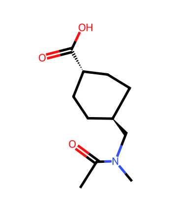 CC(=O)N(C)C[C@H]1CC[C@H](C(=O)O)CC1